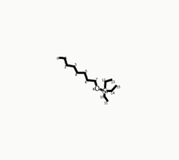 CCCCCCCCO[Si](CC)(CC)CC